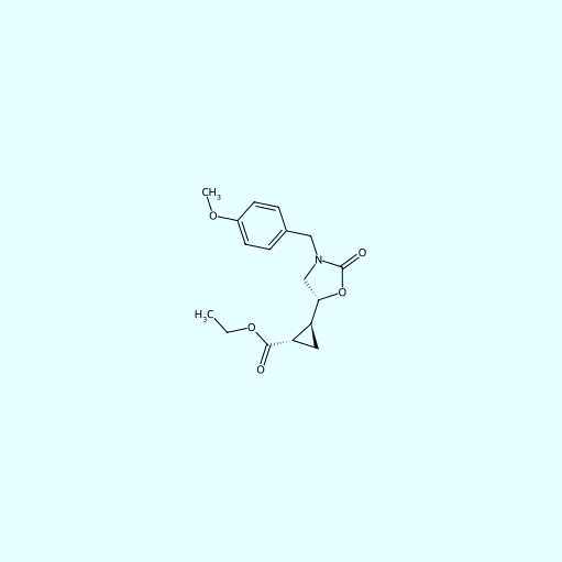 CCOC(=O)[C@H]1C[C@@H]1[C@@H]1CN(Cc2ccc(OC)cc2)C(=O)O1